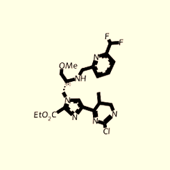 CCOC(=O)c1nc(C2=NC(Cl)=NCC2C)cn1C[C@H](COC)NCc1cccc(C(F)F)n1